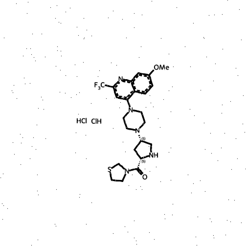 COc1ccc2c(N3CCN([C@@H]4CN[C@H](C(=O)N5CCSC5)C4)CC3)cc(C(F)(F)F)nc2c1.Cl.Cl